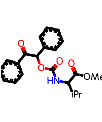 COC(=O)C(NC(=O)OC(C(=O)c1ccccc1)c1ccccc1)C(C)C